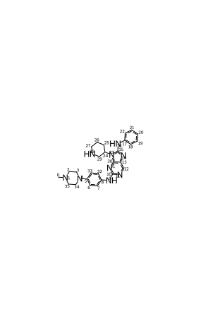 CN1CCN(c2ccc(Nc3ncc4nc(Nc5ccccc5)n(C5CCCNC5)c4n3)cc2)CC1